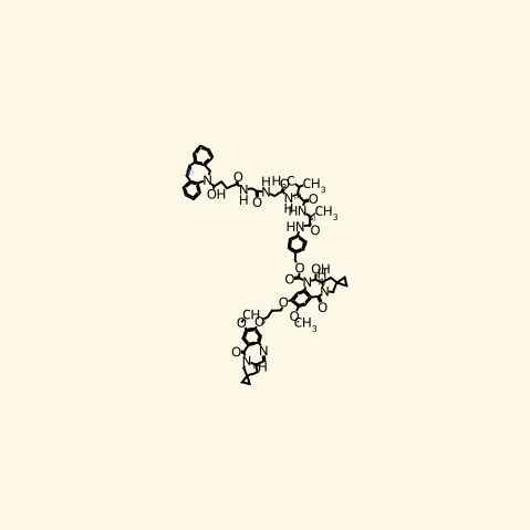 COc1cc2c(cc1OCCCOc1cc3c(cc1OC)C(=O)N1CC4(CC4)C[C@@H]1C(O)N3C(=O)OCc1ccc(NC(=O)[C@H](C)NC(=O)[C@@H](NC(=O)CNC(=O)CNC(=O)CCC(O)N3Cc4ccccc4/C=C\c4ccccc43)C(C)C)cc1)N=C[C@@H]1CC3(CC3)CN1C2=O